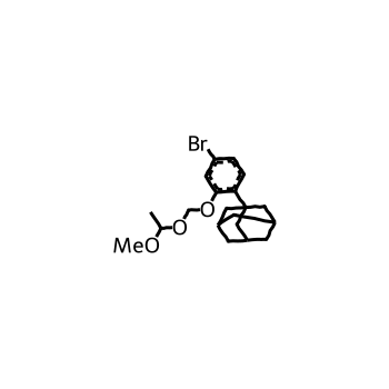 COC(C)OCOc1cc(Br)ccc1C12CC3CC(CC(C3)C1)C2